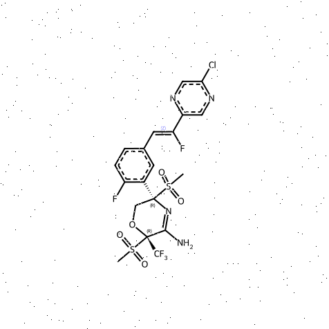 CS(=O)(=O)[C@]1(c2cc(/C=C(\F)c3cnc(Cl)cn3)ccc2F)CO[C@@](C(F)(F)F)(S(C)(=O)=O)C(N)=N1